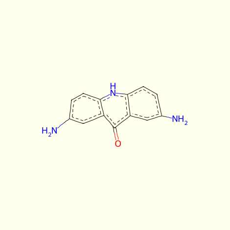 Nc1ccc2[nH]c3ccc(N)cc3c(=O)c2c1